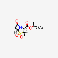 CC(=O)OC(C)OC(=O)[C@@H]1N2C(=O)C[C@H]2S(=O)(=O)C1(C)C